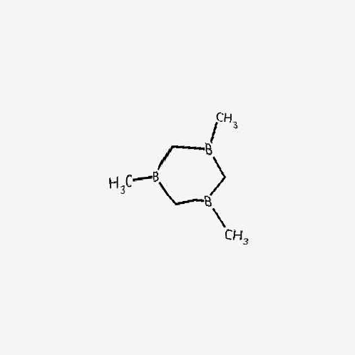 CB1CB(C)CB(C)C1